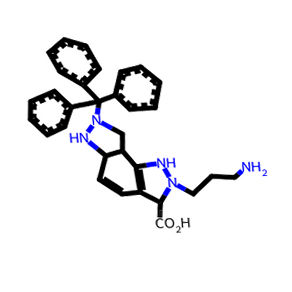 NCCCN1NC2=C(C=CC3NN(C(c4ccccc4)(c4ccccc4)c4ccccc4)CC23)C1C(=O)O